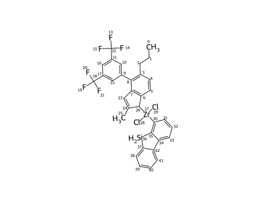 CCCc1ccc2c(c1-c1cc(C(F)(F)F)cc(C(F)(F)F)c1)C=C(C)[CH]2[Zr]([Cl])([Cl])[c]1cccc2c1[SiH2]c1ccccc1-2